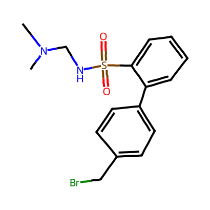 CN(C)CNS(=O)(=O)c1ccccc1-c1ccc(CBr)cc1